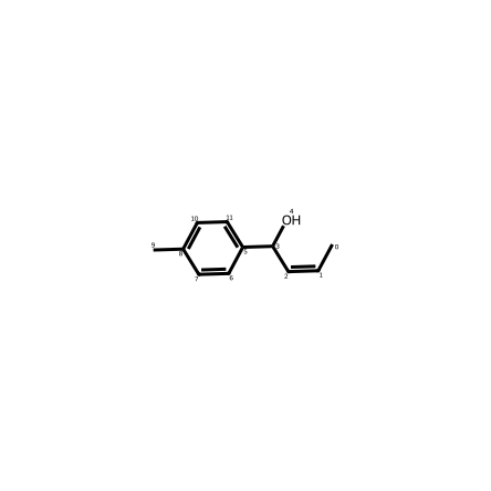 C/C=C\C(O)c1ccc(C)cc1